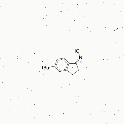 CC(C)(C)c1ccc2c(c1)CC/C2=N/O